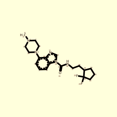 CN1CCN(c2cccc3c2ncn3C(=O)NCCC2CCCC2(F)F)CC1